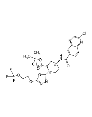 CC(C)(C)OC(=O)N1C[C@@H](NC(=O)c2ccc3nc(Cl)cnc3c2)CC[C@@H]1c1nnc(OCCOC(F)(F)F)o1